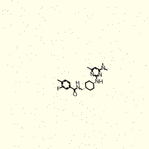 Cc1cc(N(C)C)nc(N[C@H]2CC[C@@H](CNC(=O)c3ccc(C)c(F)c3)CC2)n1